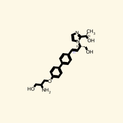 C[C@H](O)c1nccn1[C@@H](/C=C/c1ccc(-c2ccc(OCC(N)CO)cc2)cc1)CO